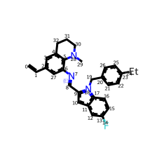 C=Cc1cc2c(c(/N=C/c3cc4cc(F)ccc4n3Cc3ccc(CC)cc3)c1)N(C)CCC2